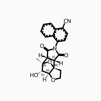 C[C@]12O[C@]3(CCO[C@H]3[C@@H]1O)[C@H]1C(=O)N(c3ccc(C#N)c4ccccc34)C(=O)[C@H]12